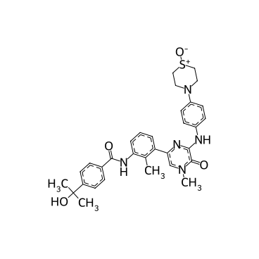 Cc1c(NC(=O)c2ccc(C(C)(C)O)cc2)cccc1-c1cn(C)c(=O)c(Nc2ccc(N3CC[S+]([O-])CC3)cc2)n1